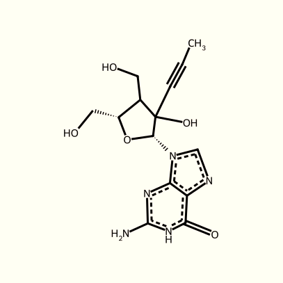 CC#CC1(O)C(CO)[C@@H](CO)O[C@H]1n1cnc2c(=O)[nH]c(N)nc21